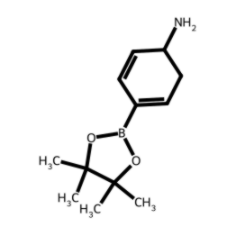 CC1(C)OB(C2=CCC(N)C=C2)OC1(C)C